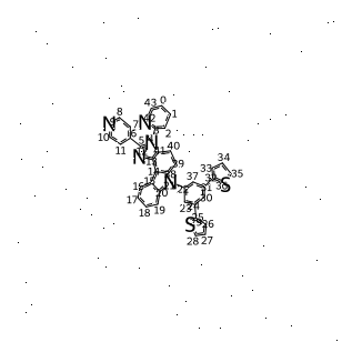 c1ccc(-n2c(-c3ccncc3)nc3c4c5ccccc5n(-c5cc(-c6cccs6)cc(-c6cccs6)c5)c4ccc32)nc1